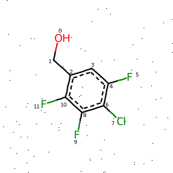 OCc1cc(F)c(Cl)c(F)c1F